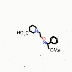 COCC(=NOCCN1CCC[C@@H](C(=O)O)C1)c1ccccc1